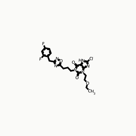 CCOCCn1c(=O)n(CCCc2nc(Cc3ccc(F)cc3F)no2)c(=O)c2[nH]c(Cl)nc21